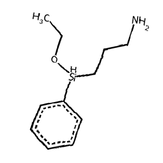 CCO[SiH](CCCN)c1ccccc1